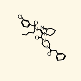 CCCCN(C(=O)c1cccc(Cl)c1)c1nc2n(c1C(=O)N1CCN(C(=O)Cc3ccccc3)CC1)CCCC2